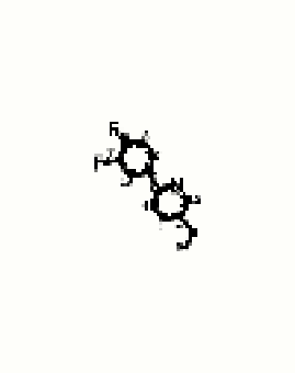 CCc1ccc(-c2ccc(F)c(F)c2)nc1